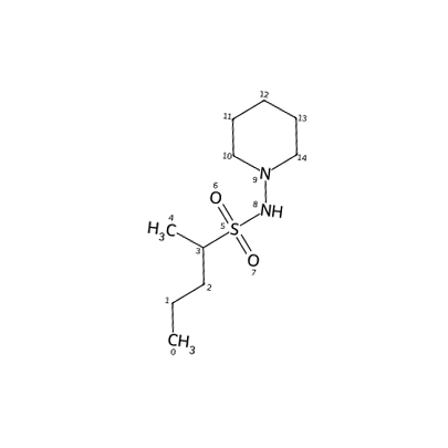 CCCC(C)S(=O)(=O)NN1CCCCC1